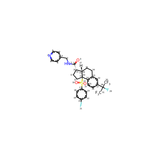 O=C(NCc1ccncc1)[C@H]1CC[C@@]2(S(=O)(=O)c3ccc(F)cc3)c3ccc(C(F)(C(F)(F)F)C(F)(F)F)cc3CC[C@@H]12